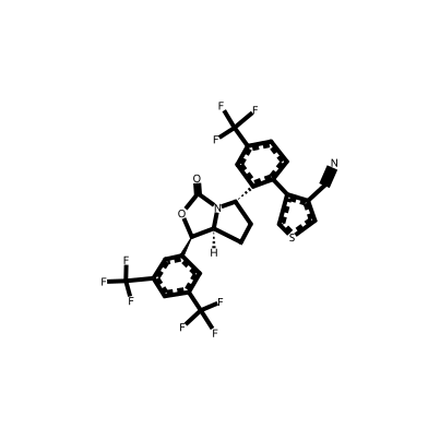 N#Cc1cscc1-c1ccc(C(F)(F)F)cc1[C@@H]1CC[C@H]2[C@@H](c3cc(C(F)(F)F)cc(C(F)(F)F)c3)OC(=O)N12